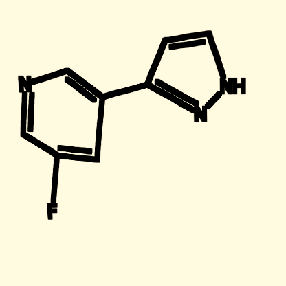 Fc1cncc(-c2cc[nH]n2)c1